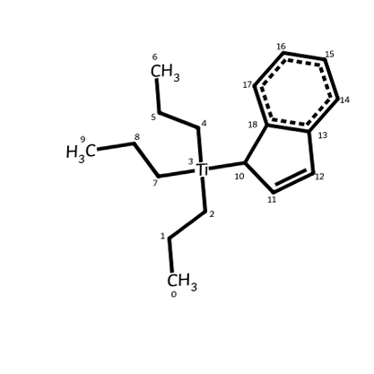 CC[CH2][Ti]([CH2]CC)([CH2]CC)[CH]1C=Cc2ccccc21